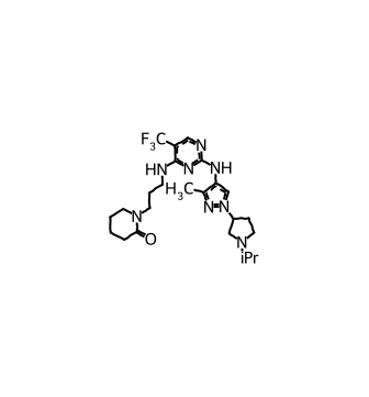 Cc1nn(C2CCN(C(C)C)C2)cc1Nc1ncc(C(F)(F)F)c(NCCCN2CCCCC2=O)n1